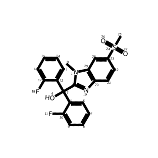 Cn1c(C(O)(c2ccccc2F)c2ccccc2F)nc2ccc(S(C)(=O)=O)cc21